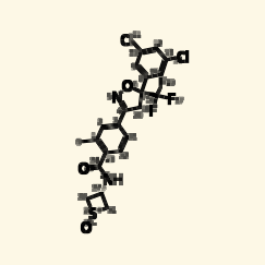 Cc1cc(C2=NO[C@@](c3cc(Cl)cc(Cl)c3)(C(F)(F)F)C2)ccc1C(=O)N[C@H]1C[S@@+]([O-])C1